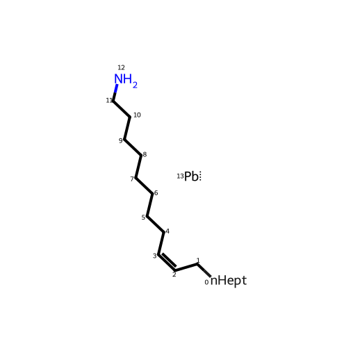 CCCCCCCC/C=C\CCCCCCCCN.[Pb]